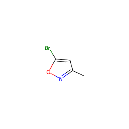 Cc1cc(Br)on1